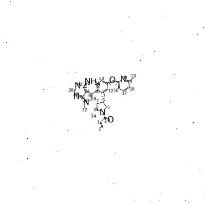 C=CC(=O)N1CC[C@@H](c2c(-c3ccc(Oc4cccc(C)n4)cc3)c3c(N)ncnc3n2C)[C@H]1C